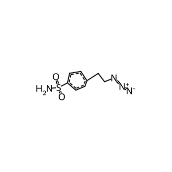 [N-]=[N+]=NCCc1ccc(S(N)(=O)=O)cc1